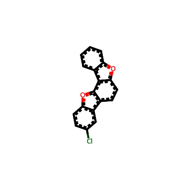 Clc1ccc2oc3c(ccc4oc5ccccc5c43)c2c1